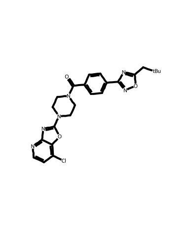 CC(C)(C)Cc1nc(-c2ccc(C(=O)N3CCN(c4nc5nccc(Cl)c5o4)CC3)cc2)no1